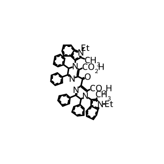 CCn1c(C)c(N2C(C(=O)O)=C(C(=O)C3=C(C(=O)O)N(c4c(C)n(CC)c5ccccc45)C(c4ccccc4)C(c4ccccc4)=N3)N=C(c3ccccc3)C2c2ccccc2)c2ccccc21